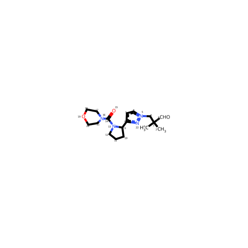 CC(C)(C=O)Cn1ccc(C2CCCN2C(=O)N2CCOCC2)n1